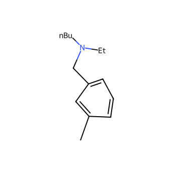 CCCCN(CC)Cc1cccc(C)c1